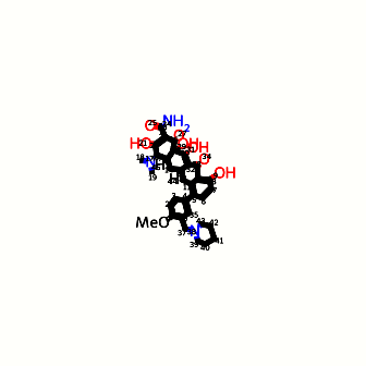 COc1ccc(-c2ccc(O)c3c2C[C@H]2C[C@H]4[C@H](N(C)C)C(O)=C(C(N)=O)C(=O)[C@@]4(O)C(O)=C2C3=O)cc1CN1CCCCC1